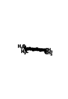 CCCC(CC)CCOCCOCCOCCOCCCC(C)CC